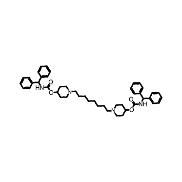 O=C(NC(c1ccccc1)c1ccccc1)OC1CCN(CCCCCCCCN2CCC(OC(=O)NC(c3ccccc3)c3ccccc3)CC2)CC1